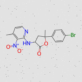 Cc1ccnc(NC2CC(C)(c3ccc(Br)cc3)OC2=O)c1[N+](=O)[O-]